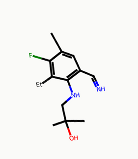 CCc1c(F)c(C)cc(C=N)c1NCC(C)(C)O